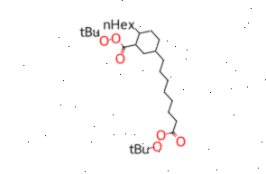 CCCCCCC1CCC(CCCCCCCC(=O)OOC(C)(C)C)CC1C(=O)OOC(C)(C)C